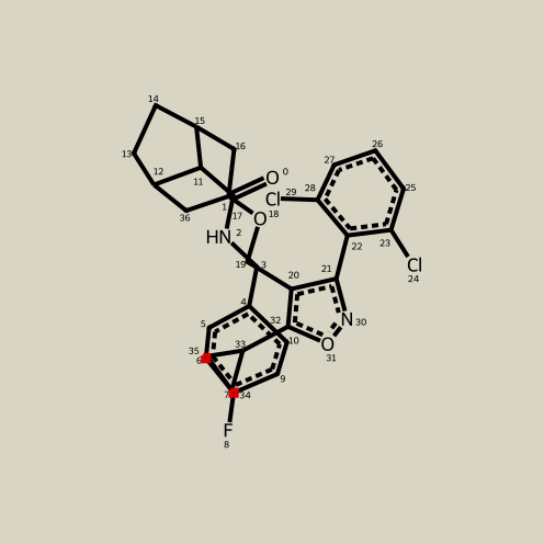 O=C(NCc1ccc(F)cc1)C1C2CCC1CC(OCc1c(-c3c(Cl)cccc3Cl)noc1C1CC1)C2